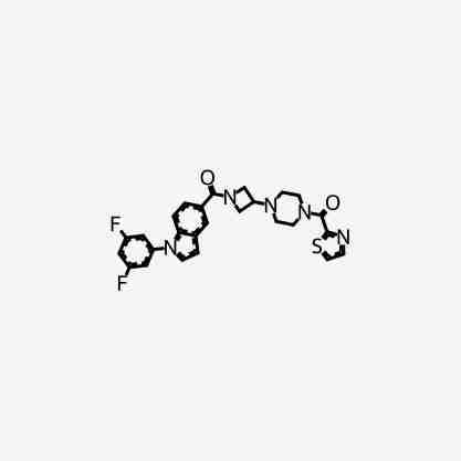 O=C(c1ccc2c(ccn2-c2cc(F)cc(F)c2)c1)N1CC(N2CCN(C(=O)c3nccs3)CC2)C1